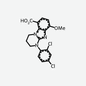 COc1ccc(C(=O)O)c2c1nc1n2CCCN1c1ccc(Cl)cc1Cl